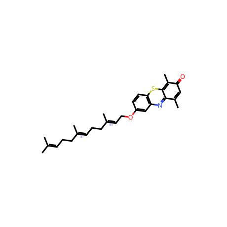 CC(C)=CCC/C(C)=C/CC/C(C)=C/COc1ccc2sc3c(C)c(=O)cc(C)c-3nc2c1